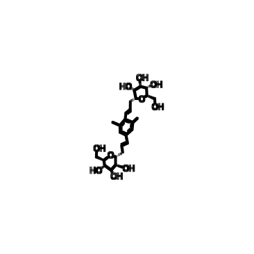 Cc1cc(/C=C/C[C@H]2O[C@H](CO)[C@@H](O)[C@H](O)[C@@H]2O)cc(C)c1/C=C/C[C@H]1O[C@H](CO)[C@@H](O)[C@H](O)[C@H]1O